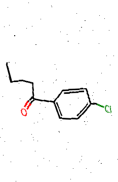 [CH2]CCC(=O)c1ccc(Cl)cc1